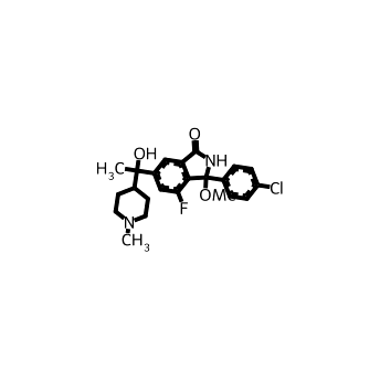 COC1(c2ccc(Cl)cc2)NC(=O)c2cc(C(C)(O)C3CCN(C)CC3)cc(F)c21